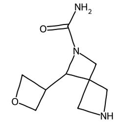 NC(=O)N1CC2(CNC2)C1C1COC1